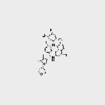 N#Cc1cnc2c(Cl)cc(NC(C3=CN(C4CCOCC4)NN3)c3ccc(F)cc3)cc2c1Nc1ccc(F)c(Cl)c1